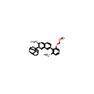 CCOCOc1cccc(C(=O)O)c1-c1ccc2cc(OC)c(C34CC5CC(CC(C5)C3)C4)cc2c1